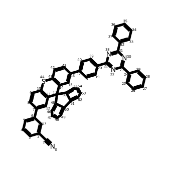 N#Cc1cccc(-c2ccc3c(c2)C2(c4cc(-c5ccc(-c6nc(-c7ccccc7)nc(-c7ccccc7)n6)cc5)ccc4S3)c3ccccc3-c3ccccc32)c1